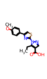 CCc1c(C(=O)O)cnn1-c1nc(-c2ccc(OC)cc2)cs1